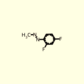 C/N=N/c1ccc(F)cc1F